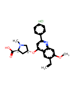 C=Cc1cc2c(O[C@@H]3C[C@@H](C(=O)O)N(C)C3)cc(-c3ccccc3)nc2cc1OC.Cl